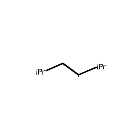 CC(C)[CH]CC(C)C